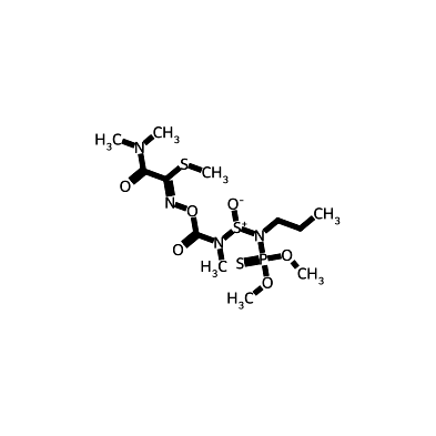 CCCN([S+]([O-])N(C)C(=O)O/N=C(\SC)C(=O)N(C)C)P(=S)(OC)OC